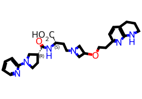 O=C(N[C@@H](CCN1CC(OCCc2ccc3c(n2)NCCC3)C1)C(=O)O)[C@@H]1CCN(c2ccccn2)C1